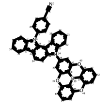 N#Cc1ccc(-n2c3ccccc3c3ccc4c(c5ccccc5n4-c4cc5c6c(c4)Oc4cccc7c4B6c4c(cccc4O5)O7)c32)cc1